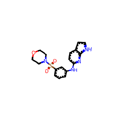 O=S(=O)(c1cccc(Nc2ccc3cc[nH]c3n2)c1)N1CCOCC1